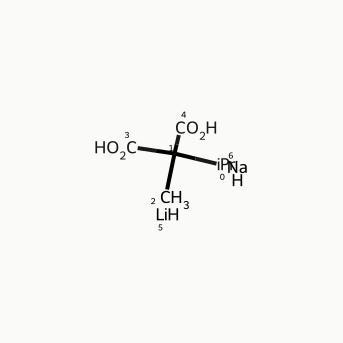 CC(C)C(C)(C(=O)O)C(=O)O.[LiH].[NaH]